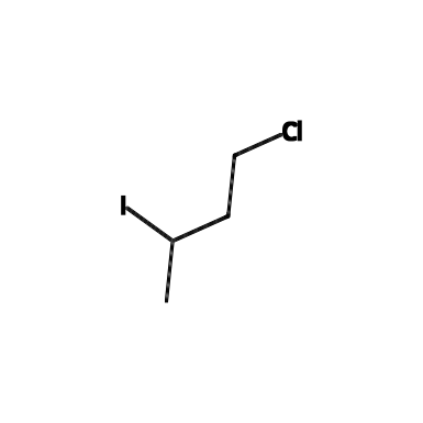 CC(I)CCCl